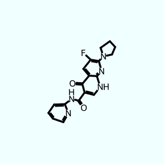 O=C(Nc1ccccn1)c1c[nH]c2nc(N3CCCC3)c(F)cc2c1=O